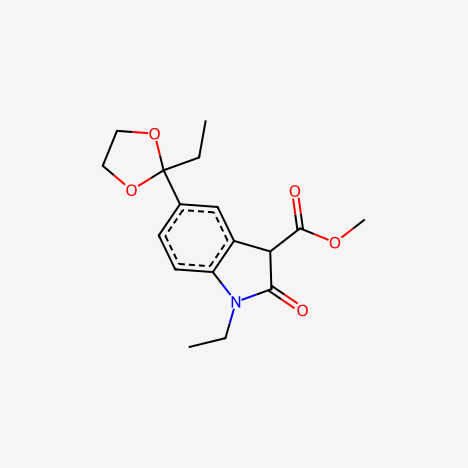 CCN1C(=O)C(C(=O)OC)c2cc(C3(CC)OCCO3)ccc21